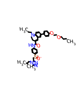 CCCCOCCOc1ccc(-c2ccc3c(c2)C=C(C(=O)Nc2ccc([S+]([O-])Cc4nncn4CC(C)C)cc2)CCN3CCC)cc1